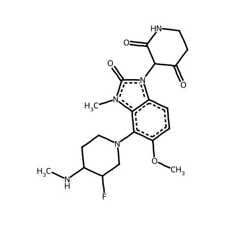 CNC1CCN(c2c(OC)ccc3c2n(C)c(=O)n3C2C(=O)CCNC2=O)CC1F